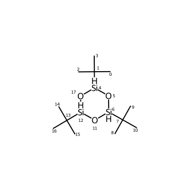 CC(C)(C)[SiH]1O[SiH](C(C)(C)C)O[SiH](C(C)(C)C)O1